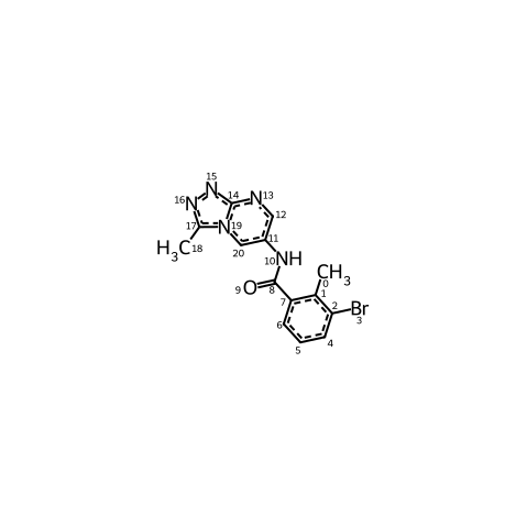 Cc1c(Br)cccc1C(=O)Nc1cnc2nnc(C)n2c1